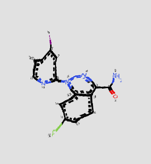 NC(=O)c1nn(-c2cc(I)ccn2)c2cc(F)ccc12